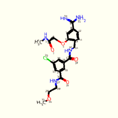 CNC(=O)COc1cc(C(=N)N)ccc1CNC(=O)c1cc(Cl)cc(C(=O)NCCOC)c1